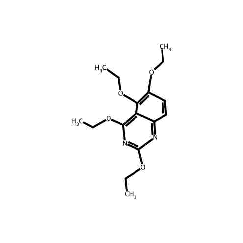 CCOc1nc(OCC)c2c(OCC)c(OCC)ccc2n1